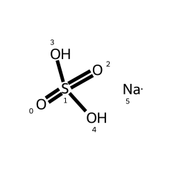 O=S(=O)(O)O.[Na]